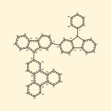 c1ccc(C2c3ccccc3-c3ccc(-c4ccc5c6ccccc6n(-c6ccc7c8ccccc8c8ccccc8c7c6)c5c4)cc32)cc1